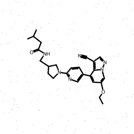 CCOc1cc(-c2ccc(N3CCC(CNC(=O)CC(C)C)C3)nc2)c2c(C#N)cnn2c1